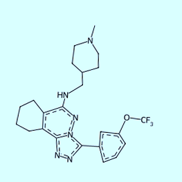 CN1CCC(CNc2nn3c(-c4cccc(OC(F)(F)F)c4)nnc3c3c2CCCC3)CC1